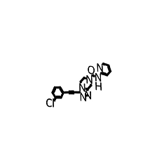 O=C(Nc1ccccn1)N1CCn2c(C#Cc3cccc(Cl)c3)nnc2C1